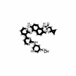 Cc1ccc2c(NS(=O)(=O)CC3(F)CC3)c(F)ccc2c1Oc1ncccc1-c1ccnc(N[C@@H]2CNC[C@H](C)C2)n1.Cl